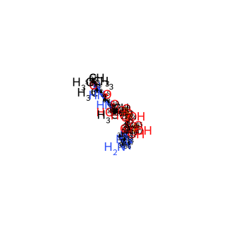 C/C(CNC(=O)CCNC(=O)C(O)C(C)(C)COP(=O)(O)OP(=O)(O)OCC1OC(n2cnc3c(N)ncnc32)C(O)C1OP(=O)(O)O)=N\OC(C)(C)C